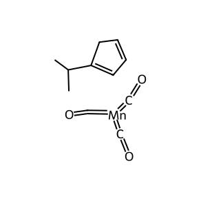 CC(C)C1=CC=CC1.O=[C]=[Mn](=[C]=O)=[C]=O